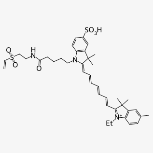 C=CS(=O)(=O)CCNC(=O)CCCCN1/C(=C/C=C/C=C/C=C/C2=[N+](CC)c3ccc(C)cc3C2(C)C)C(C)(C)c2cc(S(=O)(=O)O)ccc21